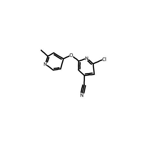 Cc1cc(Oc2cc(C#N)cc(Cl)n2)ccn1